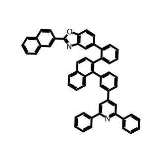 c1ccc(-c2cc(-c3cccc(-c4c(-c5ccccc5-c5ccc6oc(-c7ccc8ccccc8c7)nc6c5)ccc5ccccc45)c3)cc(-c3ccccc3)n2)cc1